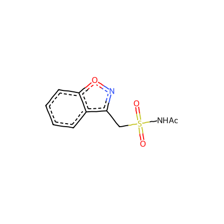 CC(=O)NS(=O)(=O)Cc1noc2ccccc12